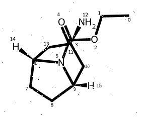 CCOC(=O)N1[C@@H]2CC[C@H]1C[C@H](N)C2